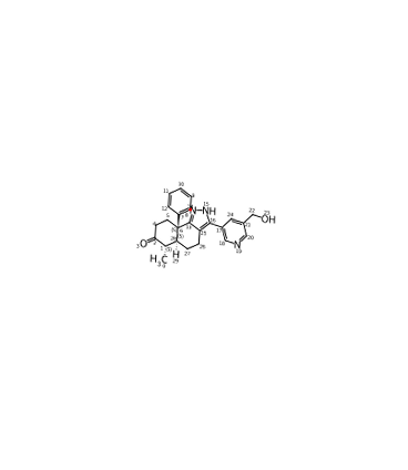 C[C@@H]1C(=O)CC[C@]2(c3ccccc3)c3n[nH]c(-c4cncc(CO)c4)c3CC[C@@H]12